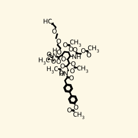 C#CCOCCOCCO[C@]1(C(=O)NS(C)(=O)=O)C[C@H](OC(C)=O)[C@@H](NC(=O)COC(C)=O)[C@H]([C@H](OC(C)=O)[C@@H](CNC(=O)Cc2ccc(-c3ccc(OC(C)=O)cc3)cc2)OC(C)=O)O1